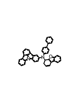 C1=Cc2c(oc3ccccc23)C(N(c2ccc(-c3ccccc3)cc2)c2ccc3c(c2)c2cccc4c5ccccc5n3c42)C1